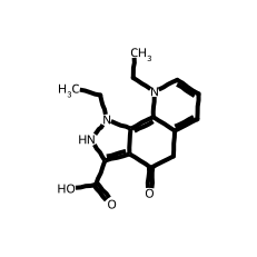 CCN1C=CC=C2CC(=O)C3=C(C(=O)O)NN(CC)C3=C21